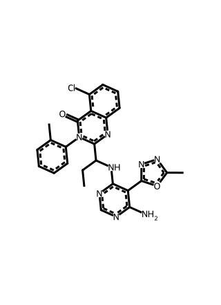 CCC(Nc1ncnc(N)c1-c1nnc(C)o1)c1nc2cccc(Cl)c2c(=O)n1-c1ccccc1C